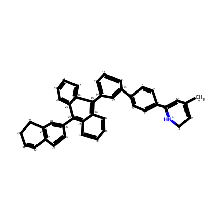 CC1=CCNC(c2ccc(-c3cccc(-c4c5ccccc5c(-c5ccc6c(c5)CCC=C6)c5ccccc45)c3)cc2)=C1